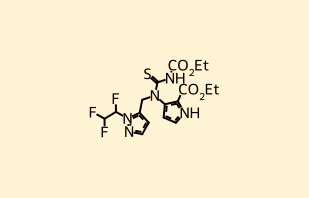 CCOC(=O)NC(=S)N(Cc1ccnn1C(F)C(F)F)c1cc[nH]c1C(=O)OCC